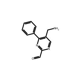 NCc1cnc(C=O)nc1-c1ccccc1